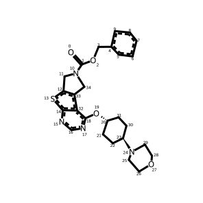 O=C(OCc1ccccc1)N1Cc2sc3ncnc(O[C@H]4CC[C@H](N5CCOCC5)CC4)c3c2C1